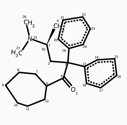 C[C@@H](CC(C(=O)C1CCCCCC1)(c1ccccc1)c1ccccc1)N(C)C